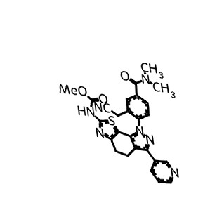 COC(=O)Nc1nc2c(s1)-c1c(c(-c3cccnc3)nn1-c1ccc(C(=O)N(C)C)cc1CC#N)CC2